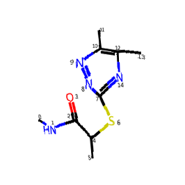 CNC(=O)C(C)Sc1nnc(C)c(C)n1